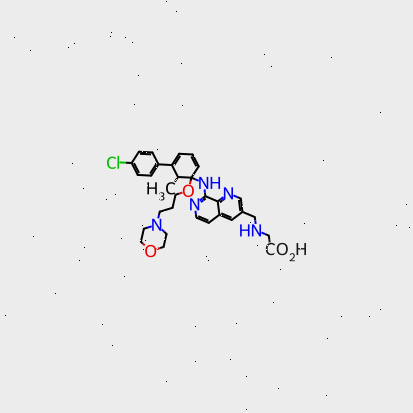 CC1C(c2ccc(Cl)cc2)=CC=CC1(Nc1nccc2cc(CNCC(=O)O)cnc12)OCCCN1CCOCC1